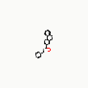 O=C(C=Cc1ccccc1)c1ccc2c(ccc3ccccc32)c1